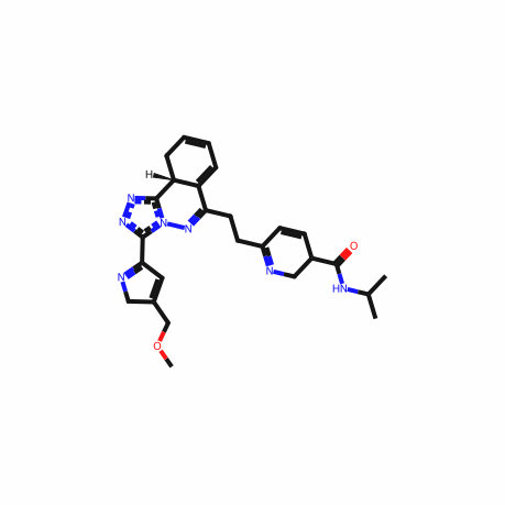 COCC1=CC(c2nnc3n2N=C(CCC2=NCC(C(=O)NC(C)C)C=C2)C2=CC=CC[C@H]23)=NC1